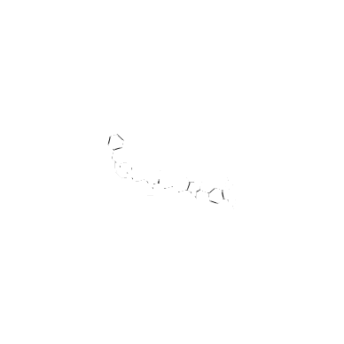 COc1ccc(-c2nc(CCCC(=O)NCCN3CCN(Cc4ccccc4)CC3)c(C)o2)cc1OC